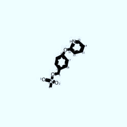 CS(=O)(=O)OCc1ccc(Oc2ccccn2)cc1